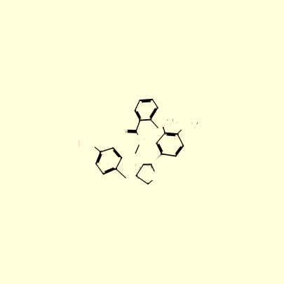 COc1ccc([C@H]2OC[C@H](Cc3ccc(C(F)(F)F)cc3)[C@@H]2COC(=O)c2ccccc2C)cc1OC